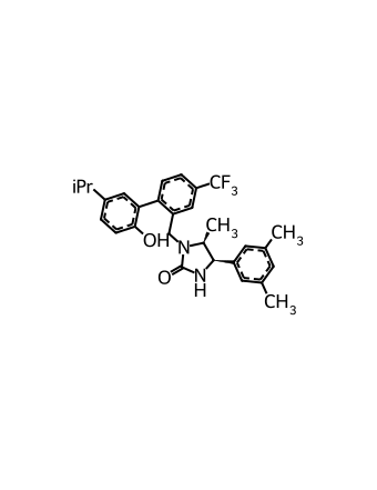 Cc1cc(C)cc([C@H]2NC(=O)N(Cc3cc(C(F)(F)F)ccc3-c3cc(C(C)C)ccc3O)[C@H]2C)c1